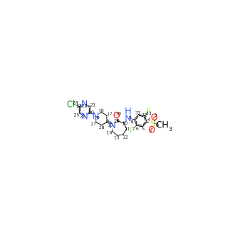 CS(=O)(=O)c1cc(F)c(N[C@H]2CCCCN(C3CCN(c4cnc(Cl)cn4)CC3)C2=O)cc1F